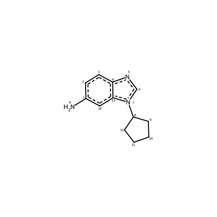 Nc1ccc2ncn(C3CCCC3)c2c1